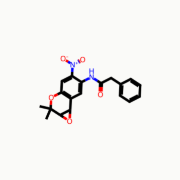 CC1(C)Oc2cc([N+](=O)[O-])c(NC(=O)Cc3ccccc3)cc2C2OC21